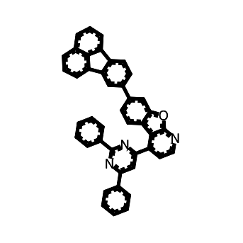 c1ccc(-c2cc(-c3ccnc4oc5cc(-c6ccc7c(c6)-c6cccc8cccc-7c68)ccc5c34)nc(-c3ccccc3)n2)cc1